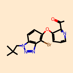 CC(=O)c1ncccc1Oc1ccc2c(nnn2CC(C)(C)C)c1Br